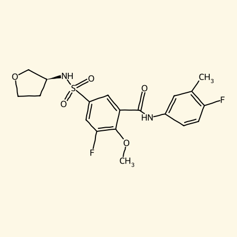 COc1c(F)cc(S(=O)(=O)N[C@H]2CCOC2)cc1C(=O)Nc1ccc(F)c(C)c1